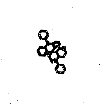 C1=NCCC2C1C1(c3ccccc3B(c3ccccc3)c3ccccc31)c1ccccc1N2c1ccccc1